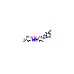 C=C(CCNC(=O)COc1ccc(Cl)c(F)c1)C(=O)NCc1cc(F)cc(OC)c1